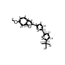 COc1ccc2cc(-c3ccc(-c4ccc(C(C)(C)C)s4)s3)oc2c1